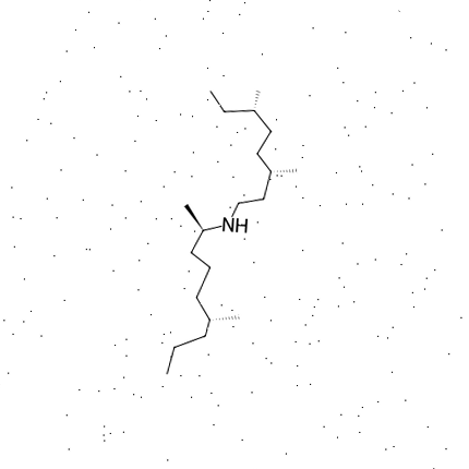 CCC[C@@H](C)CCC[C@@H](C)NCC[C@@H](C)CC[C@@H](C)CC